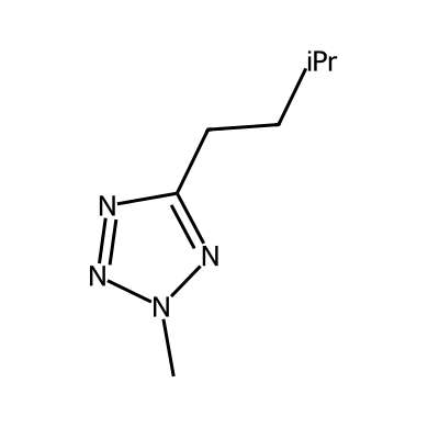 CC(C)CCc1nnn(C)n1